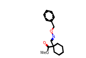 COC(=O)C1(/C=N/OCc2ccccc2)CCCCC1